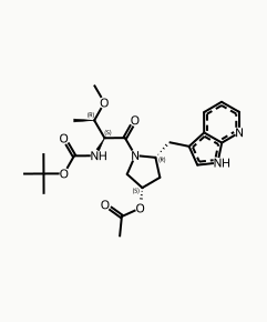 CO[C@H](C)[C@H](NC(=O)OC(C)(C)C)C(=O)N1C[C@@H](OC(C)=O)C[C@H]1Cc1c[nH]c2ncccc12